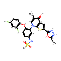 CCS(=O)(=O)Nc1ccc(Oc2ccc(F)cc2F)c(-n2cc(C)c(=O)c3cc(-c4nnc(C)o4)sc32)c1